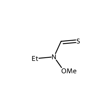 CCN(C=S)OC